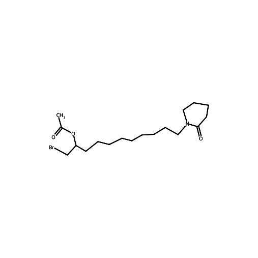 CC(=O)OC(CBr)CCCCCCCCCN1CCCCC1=O